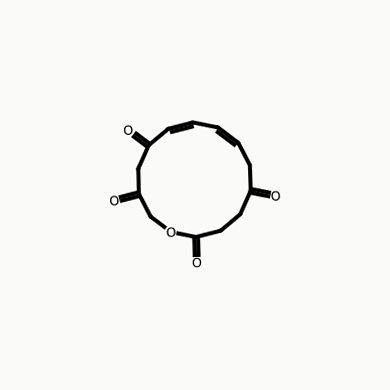 O=C1C=CC=CCC(=O)CCC(=O)OCC(=O)C1